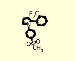 CS(=O)(=O)c1ccc(-n2cccc2-c2ccccc2C(F)(F)F)cc1